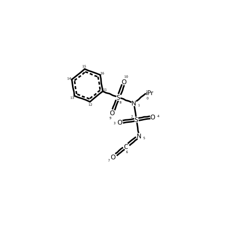 CC(C)N(S(=O)(=O)N=C=O)S(=O)(=O)c1ccccc1